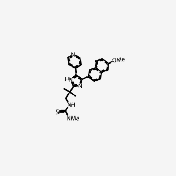 CNC(=S)NCC(C)(C)c1nc(-c2ccc3cc(OC)ccc3c2)c(-c2ccncc2)[nH]1